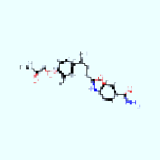 CCC(CCc1nc2ccc(C(N)=O)cc2o1)c1ccc(OCC(=O)C(C)(C)C)c(C)c1